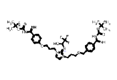 CC(C)(C)OC(=O)NC(=N)c1ccc(COCCCn2ccn(CCCOc3ccc(C(=N)NC(=O)OC(C)(C)C)cc3)/c2=N\C(O)C(F)(F)F)cc1